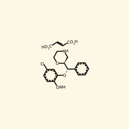 COc1ccc(Cl)cc1O[C@@H](c1ccccc1)[C@@H]1CNCCO1.O=C(O)C=CC(=O)O